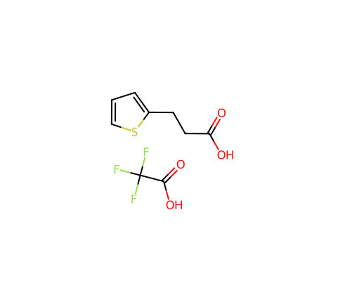 O=C(O)C(F)(F)F.O=C(O)CCc1cccs1